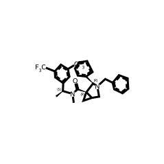 C[C@@H](c1cc(C(F)(F)F)cc(C(F)(F)F)c1)N(C)C(=O)[C@]12CC1CN(Cc1ccccc1)[C@@H]2c1ccccc1